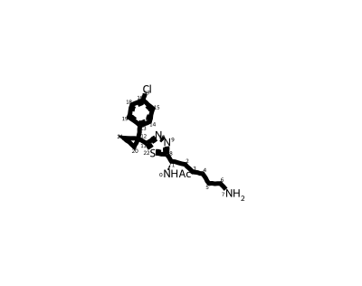 CC(=O)N[C@@H](CCCCCN)c1nnc(C2(c3ccc(Cl)cc3)CC2)s1